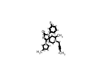 CC#CCN1CCC2(CC1C)C(N1CCC(C)C1)=NC(=O)N2c1cccc(F)c1